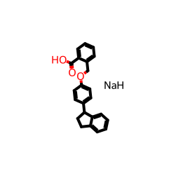 O=C(O)c1ccccc1COc1ccc(C2CCc3ccccc32)cc1.[NaH]